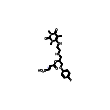 Cc1c(NCCNCC(COc2ccc(F)cc2)OC(=O)/C=C/C(=O)O)n(C)c(=O)n(C)c1=O